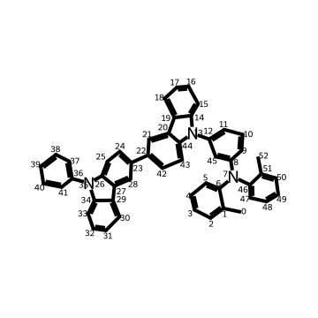 Cc1ccccc1N(c1cccc(-n2c3ccccc3c3cc(-c4ccc5c(c4)c4ccccc4n5-c4ccccc4)ccc32)c1)c1ccccc1C